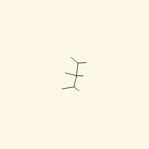 ClC(Cl)C(Cl)(Cl)C(Cl)Br